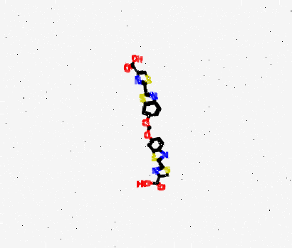 O=C(O)[C@@H]1CSC(c2nc3ccc(OCOc4ccc5nc(C6=N[C@@H](C(=O)O)CS6)sc5c4)cc3s2)=N1